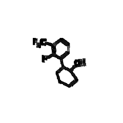 OC1CCCCC1c1cccc(C(F)(F)F)c1F